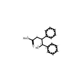 COC(=O)CC(c1ccccc1)C(C#N)c1ccccc1